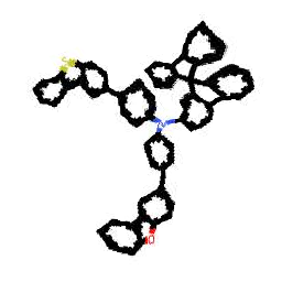 c1ccc2c(c1)-c1ccccc1C21c2ccccc2-c2ccc(N(c3ccc(-c4ccc5oc6ccccc6c5c4)cc3)c3ccc(-c4ccc5sc6ccccc6c5c4)cc3)cc21